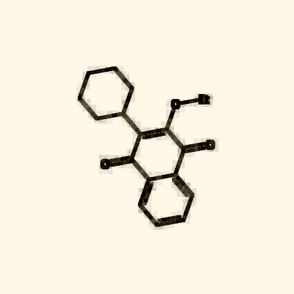 CCOC1=C(C2CCCCC2)C(=O)c2ccccc2C1=O